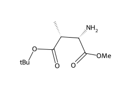 COC(=O)[C@@H](N)[C@@H](C)C(=O)OC(C)(C)C